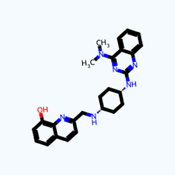 CN(C)c1nc(N[C@H]2CC[C@@H](NCc3ccc4cccc(O)c4n3)CC2)nc2ccccc12